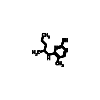 CCCC(C)Nc1nc(S)ncc1C